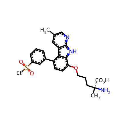 CCS(=O)(=O)c1cccc(-c2ccc(OCCC[C@](C)(N)C(=O)O)c3[nH]c4ncc(C)cc4c23)c1